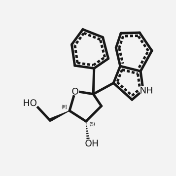 OC[C@H]1OC(c2ccccc2)(c2c[nH]c3ccccc23)C[C@@H]1O